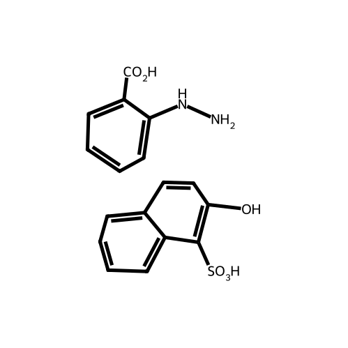 NNc1ccccc1C(=O)O.O=S(=O)(O)c1c(O)ccc2ccccc12